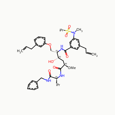 C=CCc1cccc(OC[C@H](NC(=O)c2cc(CC=C)cc(N(C)S(=O)(=O)C(C)C)c2)[C@@H](O)C[C@@H](OC)C(=O)N[C@H](C(=O)NCc2ccccc2)C(C)C)c1